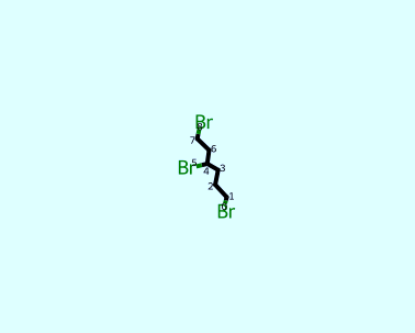 BrCCCC(Br)CCBr